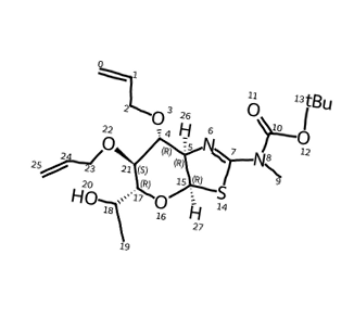 C=CCO[C@@H]1[C@H]2N=C(N(C)C(=O)OC(C)(C)C)S[C@H]2O[C@H](C(C)O)[C@H]1OCC=C